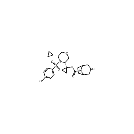 O=C(OC1([C@H]2COC[C@@H](C3CC3)N2S(=O)(=O)c2ccc(Cl)cc2)CC1)N1C2CCC1CNC2